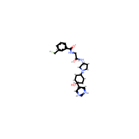 O=C(CNC(=O)c1cccc(CF)c1)N[C@@H]1CCN(C2CCC(O)(c3cncnc3)CC2)C1